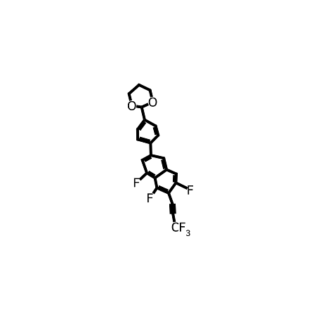 Fc1cc2cc(-c3ccc(C4OCCCO4)cc3)cc(F)c2c(F)c1C#CC(F)(F)F